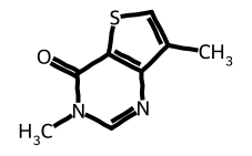 Cc1csc2c(=O)n(C)cnc12